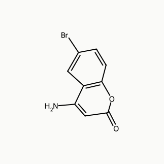 Nc1cc(=O)oc2ccc(Br)cc12